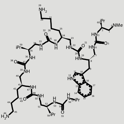 CNC[C@@H](NC(=O)NC[C@H](Cc1c[nH]c2ccccc12)NC(=O)NC[C@H](CCCCN)NC(=O)NC[C@@H](NC(=O)NC[C@H](CCCCN)NC(=O)NC[C@@H](NC(=O)NC(C)C)C(C)C)C(C)C)C(C)C